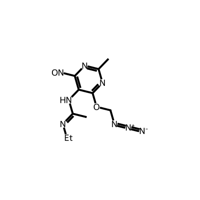 CC/N=C(\C)Nc1c(N=O)nc(C)nc1OCN=[N+]=[N-]